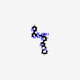 c1ccc(-c2ccnc3[nH]c(-c4n[nH]c5ccc(-c6cncc(CN7CCCCC7)c6)nc45)nc23)nc1